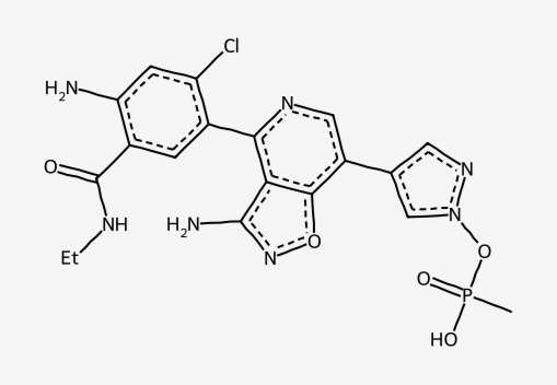 CCNC(=O)c1cc(-c2ncc(-c3cnn(OP(C)(=O)O)c3)c3onc(N)c23)c(Cl)cc1N